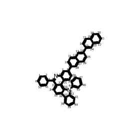 c1ccc(-c2nc3cc(-c4ccc5cc(-c6ccc7ccccc7c6)ccc5c4)ccc3c3c2ccc2c4ccccc4n(-c4ccccc4)c23)cc1